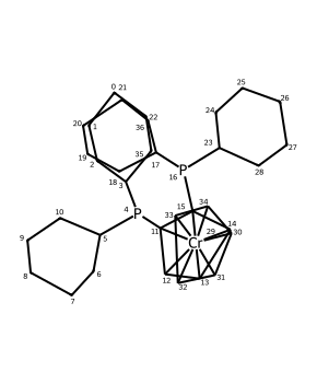 C1CCC(P(C2CCCCC2)[C]23[CH]4[CH]5[CH]6[C]2(P(C2CCCCC2)C2CCCCC2)[Cr]54632789[CH]3[CH]2[CH]7[CH]8[CH]39)CC1